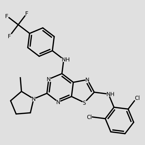 CC1CCCN1c1nc(Nc2ccc(C(F)(F)F)cc2)c2nc(Nc3c(Cl)cccc3Cl)sc2n1